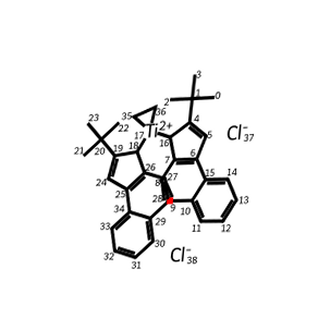 CC(C)(C)C1=Cc2c(ccc3ccccc23)[CH]1[Ti+2]1([CH]2C(C(C)(C)C)=Cc3c2ccc2ccccc32)[CH2][CH2]1.[Cl-].[Cl-]